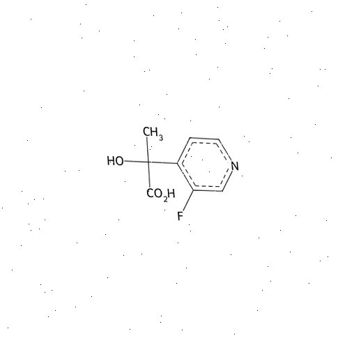 CC(O)(C(=O)O)c1ccncc1F